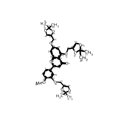 COc1ccc(-c2cc(=O)c3c(OCC4=COC(C)(C)O4)cc(OCC4=COC(C)(C)O4)cc3o2)cc1OCC1=COC(C)(C)O1